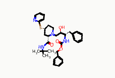 CC(C)(C)NC(=O)[C@@H]1C[C@H](Sc2ccccn2)CCN1C[C@@H](O)[C@H](Cc1ccccc1)NC(=O)OCc1ccccc1